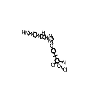 CC(C)(c1ccc(OCc2ccnc(N3CC4CN(C5CCN(C6CNC6)CC5)C[C@H]4C3)n2)cc1)c1cc(Cl)c(OCCCl)c(C#N)c1